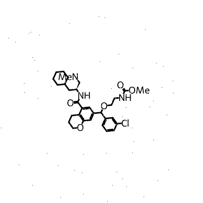 CNC[C@H](CC1CCCCC1)NC(=O)c1cc(C(OCCNC(=O)OC)c2cccc(Cl)c2)cc2c1CCCO2